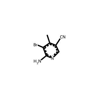 Cc1c(C#N)cnc(N)c1Br